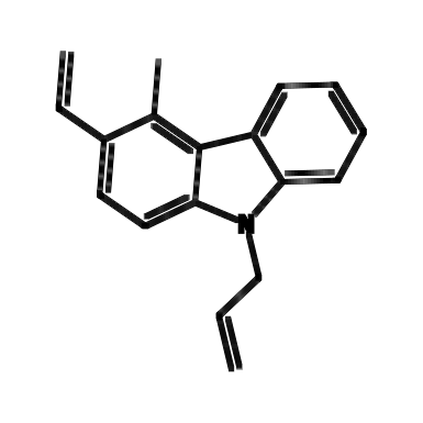 C=CCn1c2ccccc2c2c(C)c(C=C)ccc21